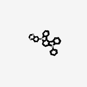 c1ccc(-n2c3ccccc3c3c4c5ccccc5n(-c5ccc6nccnc6c5)c4ccc32)cc1